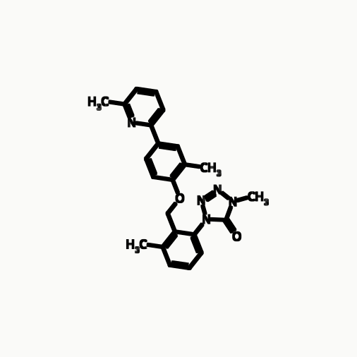 Cc1cccc(-c2ccc(OCc3c(C)cccc3-n3nnn(C)c3=O)c(C)c2)n1